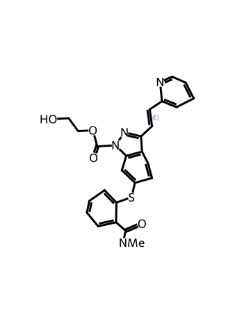 CNC(=O)c1ccccc1Sc1ccc2c(/C=C/c3ccccn3)nn(C(=O)OCCO)c2c1